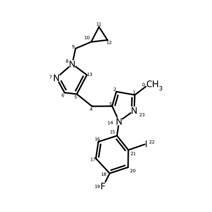 Cc1cc(Cc2cnn(CC3CC3)c2)n(-c2ccc(F)cc2I)n1